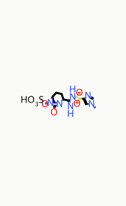 Cn1cnc(S(=O)(=O)NC(=N)C2CCC3CN2C(=O)N3OS(=O)(=O)O)c1